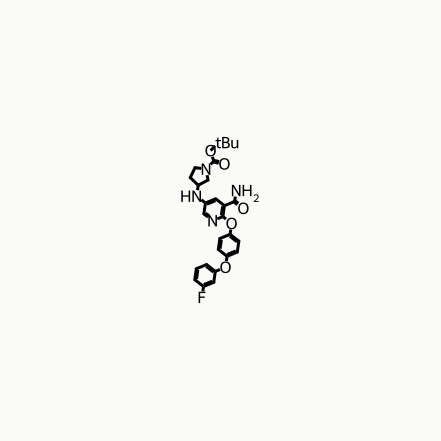 CC(C)(C)OC(=O)N1CCC(Nc2cnc(Oc3ccc(Oc4cccc(F)c4)cc3)c(C(N)=O)c2)C1